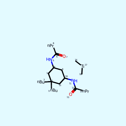 CCCCC1(CCCC)CC(NC(=O)CCC)CC(NC(=O)CCC)C1.[CH3][Ti][CH3]